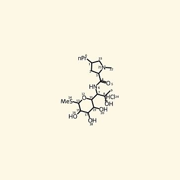 CCCC1CC(C(=O)NC(C(C)O)C2OC(SC)C(O)C(O)C2O)N(C)C1.Cl